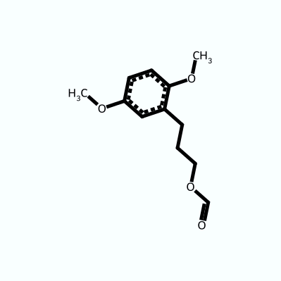 COc1ccc(OC)c(CCCOC=O)c1